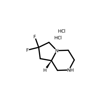 Cl.Cl.FC1(F)C[C@H]2CNCCN2C1